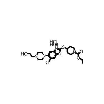 CCOC(=O)N1CCC(Sc2nc3cc(Cl)c(N4CCN(CCO)CC4)cc3[nH]2)CC1.Cl.Cl